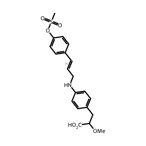 COC(Cc1ccc(NC/C=C/c2ccc(OS(C)(=O)=O)cc2)cc1)C(=O)O